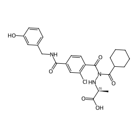 C[C@H](NN(C(=O)c1ccc(C(=O)NCc2cccc(O)c2)cc1Cl)C(=O)C1CCCCC1)C(=O)O